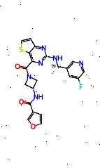 C[C@H](Nc1nc(C(=O)N2CC(NC(=O)c3ccoc3)C2)c2sccc2n1)c1cncc(F)c1